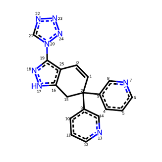 C1=CC(c2cccnc2)(c2cccnc2)Cc2[nH]nc(-n3cnnn3)c21